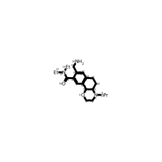 CCCN1CCOC2c3cc(C(=O)N(CC)CC)c(CN)cc3CCC21